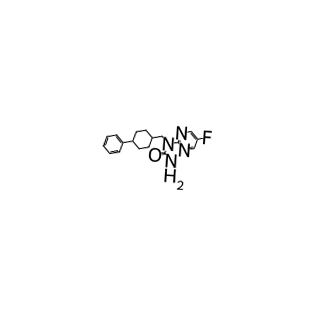 NC(=O)N(CC1CCC(c2ccccc2)CC1)c1ncc(F)cn1